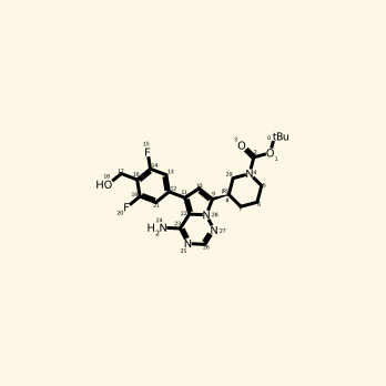 CC(C)(C)OC(=O)N1CCC[C@@H](c2cc(-c3cc(F)c(CO)c(F)c3)c3c(N)ncnn23)C1